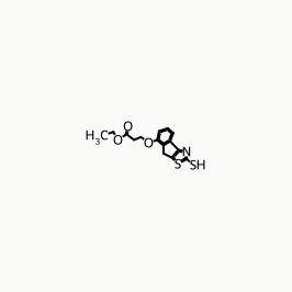 CCOC(=O)CCOc1cccc2c1Cc1sc(S)nc1-2